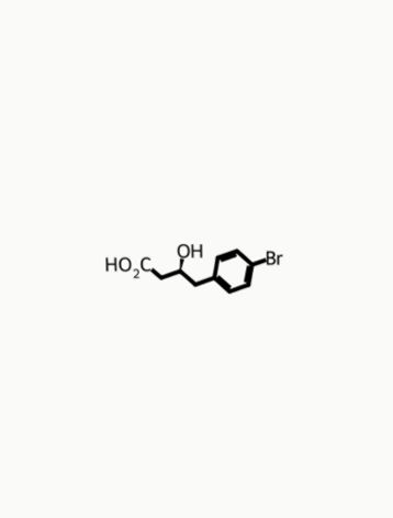 O=C(O)C[C@@H](O)Cc1ccc(Br)cc1